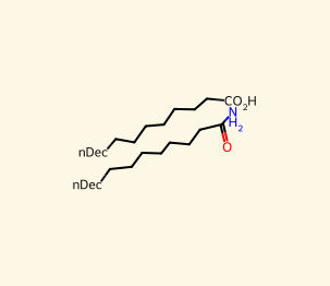 CCCCCCCCCCCCCCCCCC(=O)O.CCCCCCCCCCCCCCCCCC(N)=O